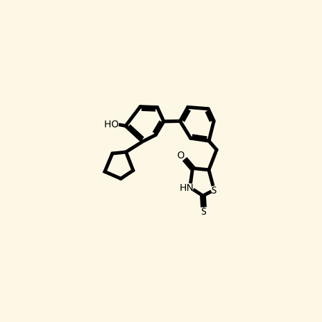 O=C1NC(=S)SC1Cc1cccc(-c2ccc(O)c(C3CCCC3)c2)c1